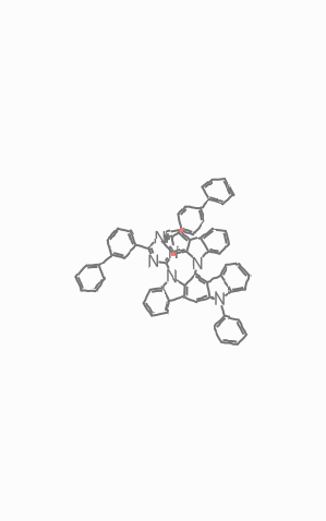 c1ccc(-c2ccc(-c3nc(-c4cccc(-c5ccccc5)c4)nc(-n4c5ccccc5c5cc6c(c(-n7c8ccccc8c8ccccc87)c54)c4ccccc4n6-c4ccccc4)n3)cc2)cc1